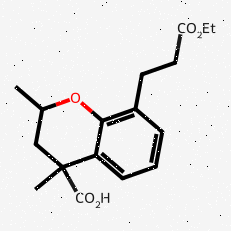 CCOC(=O)CCc1cccc2c1OC(C)CC2(C)C(=O)O